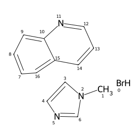 Br.Cn1ccnc1.c1ccc2ncccc2c1